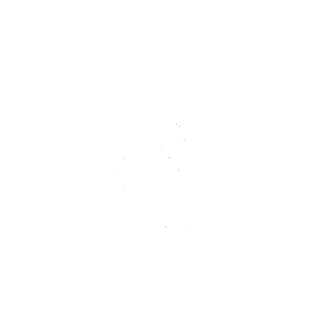 CCN(CC)c1cccc(C(=O)c2ccccc2)c1C(=O)c1ccccc1O